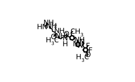 CCc1cc(Nc2nccn3c(-c4ccc(OC)c(F)c4F)cnc23)ccc1C(=O)NCC[C@H](C)NC(=O)[C@@H](N)CCCNC(=N)N